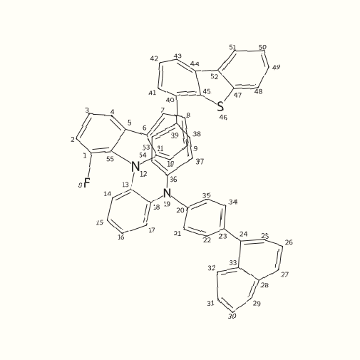 Fc1cccc2c3ccccc3n(-c3ccccc3N(c3ccc(-c4cccc5ccccc45)cc3)c3ccc(-c4cccc5c4sc4ccccc45)cc3)c12